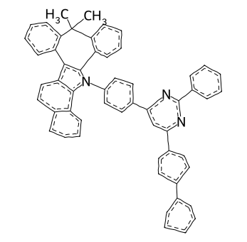 CC1(C)c2ccccc2-c2c(n(-c3ccc(-c4cc(-c5ccc(-c6ccccc6)cc5)nc(-c5ccccc5)n4)cc3)c3c2ccc2ccccc23)-c2ccccc21